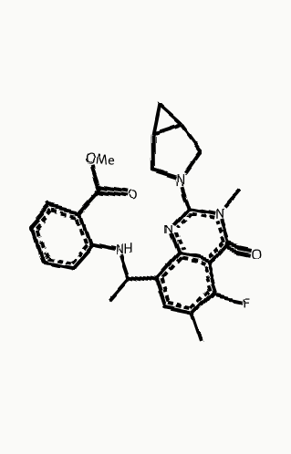 COC(=O)c1ccccc1NC(C)c1cc(C)c(F)c2c(=O)n(C)c(N3CC4CC4C3)nc12